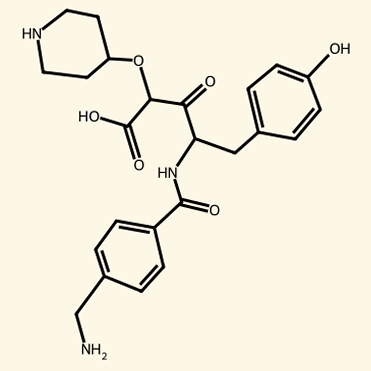 NCc1ccc(C(=O)NC(Cc2ccc(O)cc2)C(=O)C(OC2CCNCC2)C(=O)O)cc1